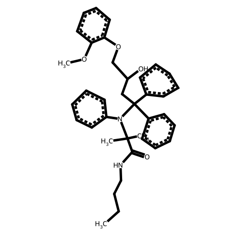 CCCCNC(=O)C(C)(C)N(c1ccccc1)C(CC(O)COc1ccccc1OC)(c1ccccc1)c1ccccc1